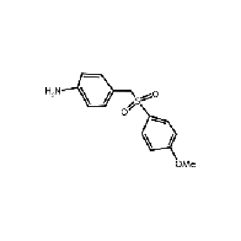 COc1ccc(S(=O)(=O)Cc2ccc(N)cc2)cc1